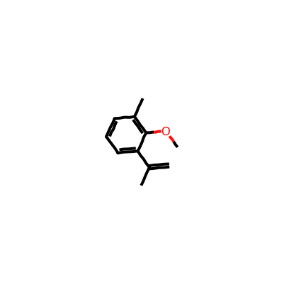 C=C(C)c1cccc(C)c1OC